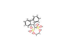 O=S1(=O)OCCOS(=O)(=O)C1C1c2ccccc2-c2ccccc21